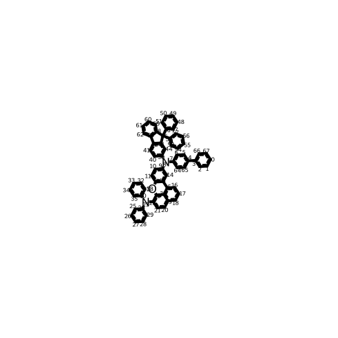 c1ccc(-c2ccc(N(c3ccc4c(c3)-c3cccc5ccc(N(c6ccccc6)c6ccccc6)c(c35)O4)c3ccc4c(c3)C(c3ccccc3)(c3ccccc3)c3ccccc3-4)cc2)cc1